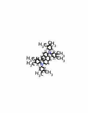 Cc1ccc(N(C2=CCC3C=Cc4c(N(c5ccc(C)c(C)c5)c5ccc(C)c(C)c5)ccc5c4C3C2(C)C=C5)c2ccc(C)c(C)c2)cc1C